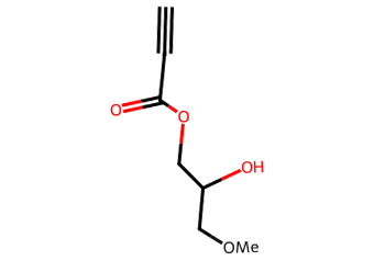 C#CC(=O)OCC(O)COC